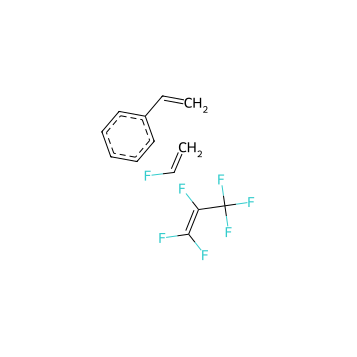 C=CF.C=Cc1ccccc1.FC(F)=C(F)C(F)(F)F